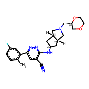 Cc1ccc(F)cc1-c1cc(C#N)c(N[C@H]2C[C@@H]3CN(C[C@H]4COCCO4)C[C@@H]3C2)nn1